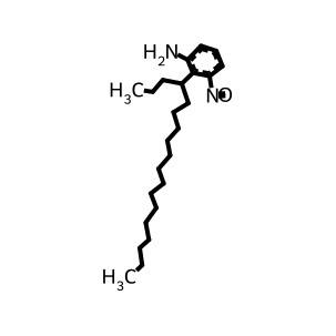 CCCCCCCCCCCCCCC(CCC)c1c(N)cccc1N=O